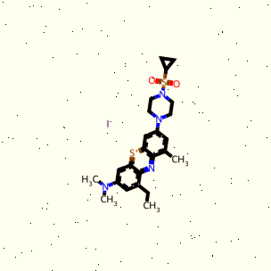 CCc1cc(N(C)C)cc2[s+]c3cc(N4CCN(S(=O)(=O)C5CC5)CC4)cc(C)c3nc12.[I-]